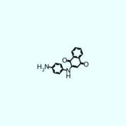 Nc1ccc(NC2=CC(=O)c3ccccc3C2=O)cc1